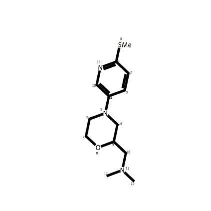 CSc1ccc(N2CCOC(CN(C)C)C2)cn1